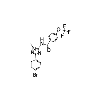 Cn1nc(-c2ccc(Br)cc2)nc1NC(=O)c1ccc(OC(F)(F)F)cc1